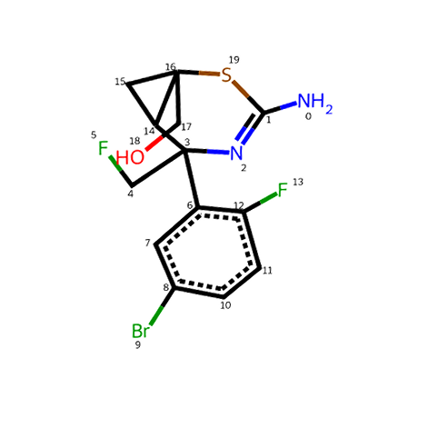 NC1=NC(CF)(c2cc(Br)ccc2F)C2CC2(CO)S1